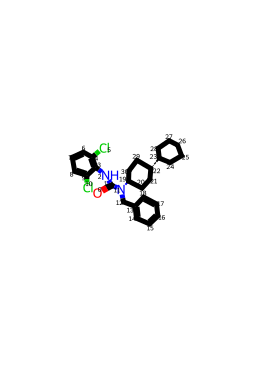 O=C(Nc1c(Cl)cccc1Cl)N(Cc1ccccc1)[C@H]1CC[C@@H](C2CCCCC2)CC1